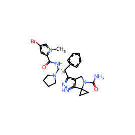 Cn1cc(Br)cc1C(=O)NC([C@H](c1ccccc1)c1n[nH]c2c1CN(C(N)=O)C21CC1)N1CCCC1